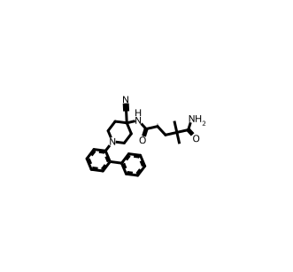 CC(C)(C[CH]C(=O)NC1(C#N)CCN(c2ccccc2-c2ccccc2)CC1)C(N)=O